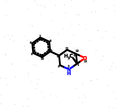 CC12NCC(c3ccccc3)CC1O2